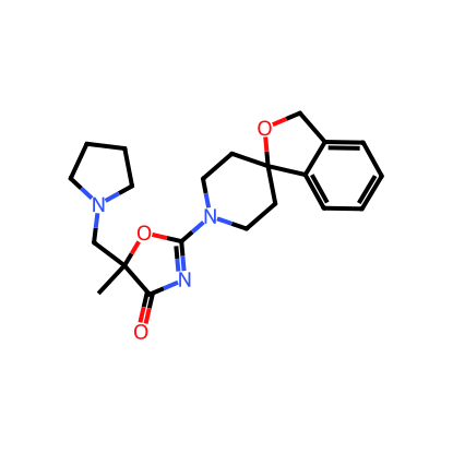 CC1(CN2CCCC2)OC(N2CCC3(CC2)OCc2ccccc23)=NC1=O